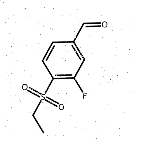 CCS(=O)(=O)c1ccc(C=O)cc1F